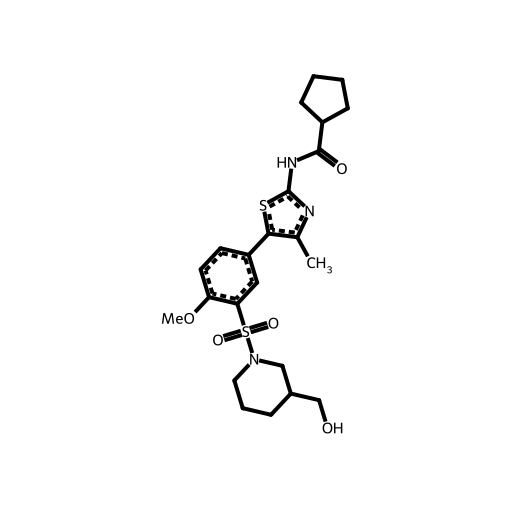 COc1ccc(-c2sc(NC(=O)C3CCCC3)nc2C)cc1S(=O)(=O)N1CCCC(CO)C1